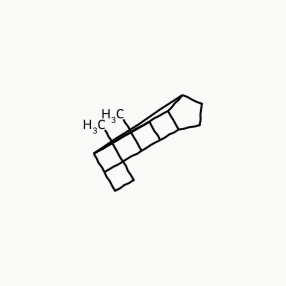 CC12C3C4C5CCC6C5C41C61C4CCC34C21C